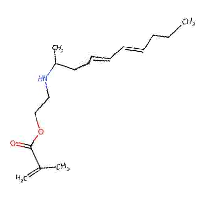 C=C(C)C(=O)OCCNC(C)CC=CC=CCCC